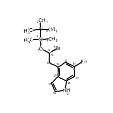 CC(C)(C)[Si](C)(C)O[C@@H](Br)Cc1cc(F)cc2[nH]ccc12